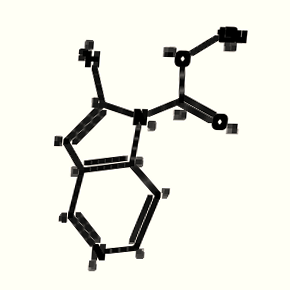 [2H]c1cc2cnccc2n1C(=O)OC(C)(C)C